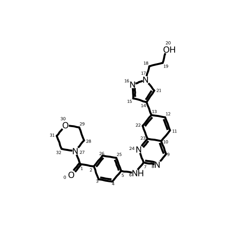 O=C(c1ccc(Nc2ncc3ccc(-c4cnn(CCO)c4)cc3n2)cc1)N1CCOCC1